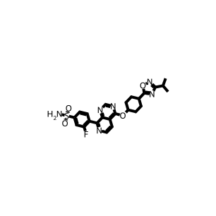 CC(C)c1noc(C2CCC(Oc3ncnc4c(-c5ccc(S(N)(=O)=O)cc5F)nccc34)CC2)n1